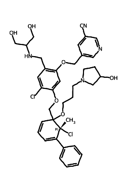 C[C@@]1(Cl)C(c2ccccc2)=CC=CC1(COc1cc(OCc2cncc(C#N)c2)c(CNC(CO)CO)cc1Cl)OCCCN1CCC(O)C1